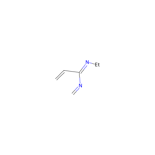 C=C/C(N=C)=N/CC